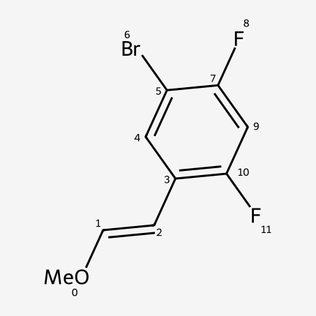 CO/C=C/c1cc(Br)c(F)cc1F